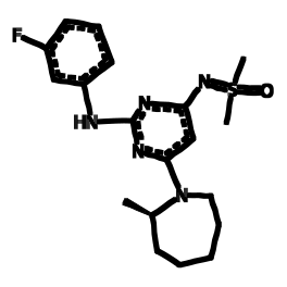 C[C@@H]1CCCCCN1c1cc(N=S(C)(C)=O)nc(Nc2cccc(F)c2)n1